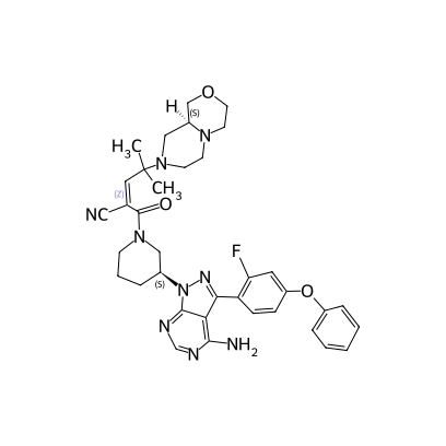 CC(C)(/C=C(/C#N)C(=O)N1CCC[C@H](n2nc(-c3ccc(Oc4ccccc4)cc3F)c3c(N)ncnc32)C1)N1CCN2CCOC[C@@H]2C1